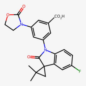 CC1(C)CC12C(=O)N(c1cc(C(=O)O)cc(N3CCOC3=O)c1)c1ccc(F)cc12